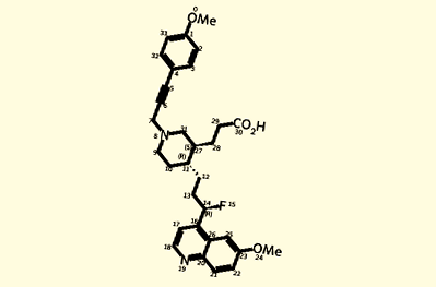 COc1ccc(C#CCN2CC[C@@H](CC[C@@H](F)c3ccnc4ccc(OC)cc34)[C@H](CCC(=O)O)C2)cc1